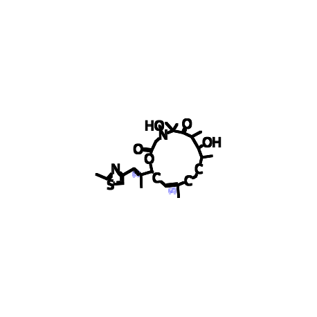 C/C1=C/CC(/C(C)=C/c2csc(C)n2)OC(=O)CN(O)C(C)(C)C(=O)C(C)C(O)C(C)CCC1